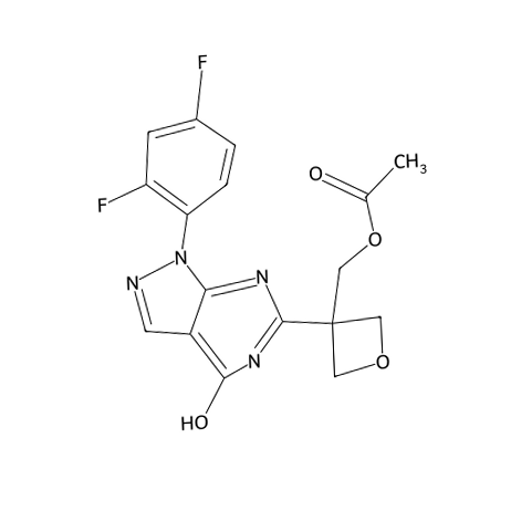 CC(=O)OCC1(c2nc(O)c3cnn(-c4ccc(F)cc4F)c3n2)COC1